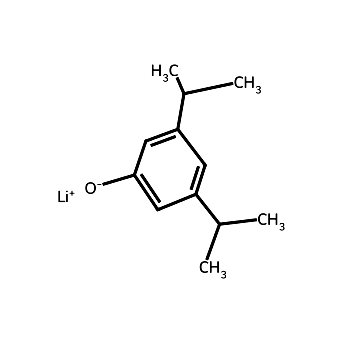 CC(C)c1cc([O-])cc(C(C)C)c1.[Li+]